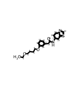 CCOCCCCOc1cccc(CC(=O)Nc2ccc3ncsc3c2)c1